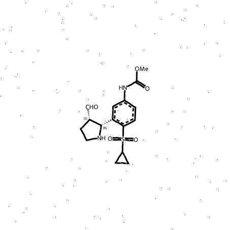 COC(=O)Nc1ccc(S(=O)(=O)C2CC2)c([C@@H]2NCC[C@@H]2C=O)c1